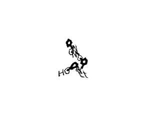 CCN(Cc1cccc(OCc2noc(-c3ccccc3)n2)c1)c1cccc(O)c1